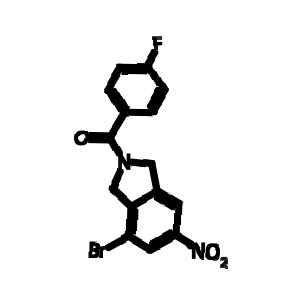 O=C(c1ccc(F)cc1)N1Cc2cc([N+](=O)[O-])cc(Br)c2C1